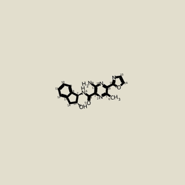 Cc1nc(C(=O)N[C@@H]2c3ccccc3C[C@H]2O)c(N)nc1-c1ncco1